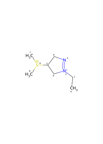 CC[N+]1=NCC([SH](C)C)C1